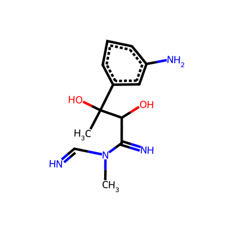 CN(C=N)C(=N)C(O)C(C)(O)c1cccc(N)c1